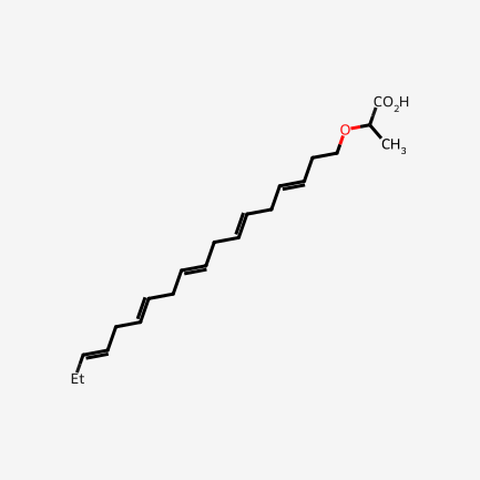 CCC=CCC=CCC=CCC=CCC=CCCOC(C)C(=O)O